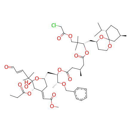 CCC(=O)O[C@H]1/C(=C/C(=O)OC)C[C@@H](C[C@@H](OC(=O)C[C@H](C)CC(=O)O[C@@H](C[C@@H]2CCOC3(C[C@H](C)CC[C@H]3C(C)C)O2)C(C)(C)COC(=O)CCl)[C@@H](C)OCc2ccccc2)O[C@@]1(O)C(C)(C)/C=C/C=O